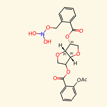 CC(=O)Oc1ccccc1C(=O)OC1CO[C@H]2[C@@H]1OC[C@H]2OC(=O)c1ccccc1CON(O)O